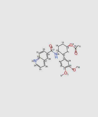 COc1ccc(C2C[C@H](OC(C)=O)CCC2NC(=O)c2ccc3ncccc3c2)cc1OC